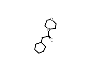 O=C([CH]C1CCCCC1)N1CCOCC1